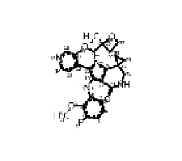 COc1c(F)cccc1Nc1c(-c2ccncc2OC[C@]2(C)CCO2)[nH]c2c1C(=O)NCC21CC1